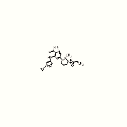 C=CC(=O)N[C@@H]1CCCN(c2cnc(C(N)=O)c(Nc3cnn(C4CC4)c3)n2)[C@@H]1C